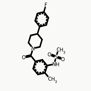 Cc1ccc(C(=O)N2CCC(c3ccc(F)cc3)CC2)cc1NS(C)(=O)=O